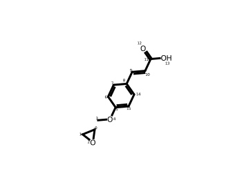 C1CO1.COc1ccc(C=CC(=O)O)cc1